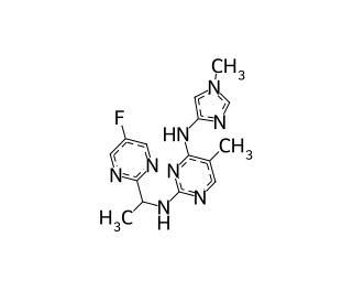 Cc1cnc(NC(C)c2ncc(F)cn2)nc1Nc1cn(C)cn1